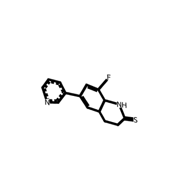 FC1=CC(c2cccnc2)=CC2CCC(=S)NC12